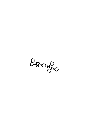 c1ccc(N2c3ccccc3N(c3ccc(-c4nc5c(s4)-c4cccc6cccc-5c46)cc3)c3ccccc32)cc1